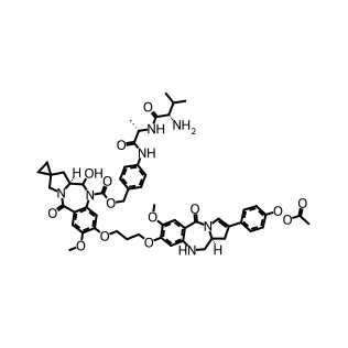 COc1cc2c(cc1OCCCOc1cc3c(cc1OC)C(=O)N1CC4(CC4)C[C@H]1C(O)N3C(=O)OCc1ccc(NC(=O)[C@H](C)NC(=O)[C@@H](N)C(C)C)cc1)NC[C@@H]1CC(c3ccc(OOC(C)=O)cc3)=CN1C2=O